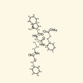 COC(=O)CCc1ccccc1NC(=O)[C@H](CCCNC(=O)OCc1ccccc1)NC(=O)c1cc2ccccc2n1C